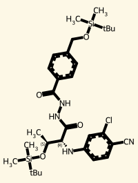 C[C@H](O[Si](C)(C)C(C)(C)C)[C@@H](Nc1ccc(C#N)c(Cl)c1)C(=O)NNC(=O)c1ccc(CO[Si](C)(C)C(C)(C)C)cc1